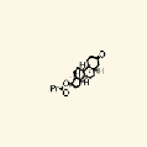 CC(C)C(=O)O[C@H]1CC[C@H]2[C@@H]3CC[C@H]4CC(=O)CC[C@]4(C)[C@H]3CC[C@]12C